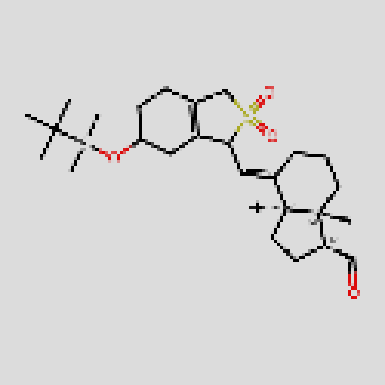 CC(C)(C)[Si](C)(C)OC1CCC2=C(C1)C(C=C1CCC[C@]3(C)[C@@H](C=O)CC[C@@H]13)S(=O)(=O)C2